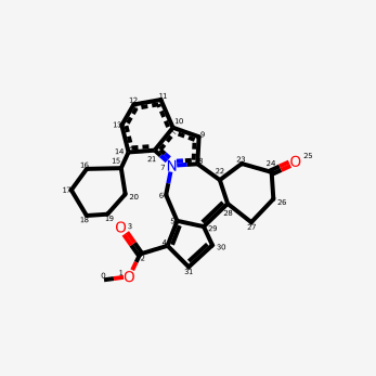 COC(=O)C1=C2Cn3c(cc4cccc(C5CCCCC5)c43)C3CC(=O)CCC3=C2C=C1